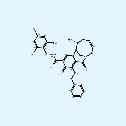 C[C@@H]1C/C=C\CN2CN1n1cc(C(=O)NCc3c(F)cc(F)cc3F)c(=O)c(OCc3ccccc3)c1C2=O